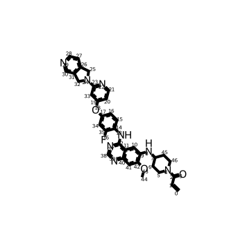 C=CC(=O)N1CCC(Nc2cc3c(Nc4ccc(Oc5ccnc(N6Cc7ccncc7C6)c5)cc4F)ncnc3cc2OC)CC1